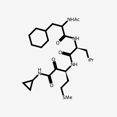 CSCC[C@H](NC(=O)[C@H](CC(C)C)NC(=O)C(CC1CCCCC1)NC(C)=O)C(=O)C(=O)NC1CC1